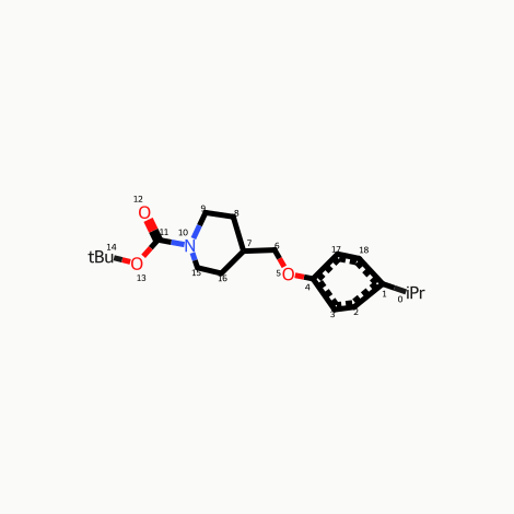 CC(C)c1ccc(OCC2CCN(C(=O)OC(C)(C)C)CC2)cc1